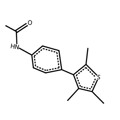 CC(=O)Nc1ccc(-c2c(C)sc(C)c2C)cc1